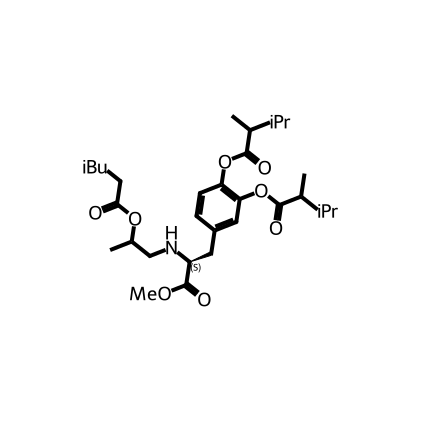 CCC(C)CC(=O)OC(C)CN[C@@H](Cc1ccc(OC(=O)C(C)C(C)C)c(OC(=O)C(C)C(C)C)c1)C(=O)OC